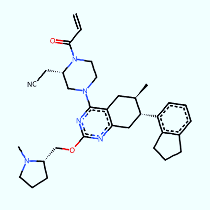 C=CC(=O)N1CCN(c2nc(OC[C@@H]3CCCN3C)nc3c2C[C@@H](C)[C@H](c2cccc4c2CCC4)C3)C[C@@H]1CC#N